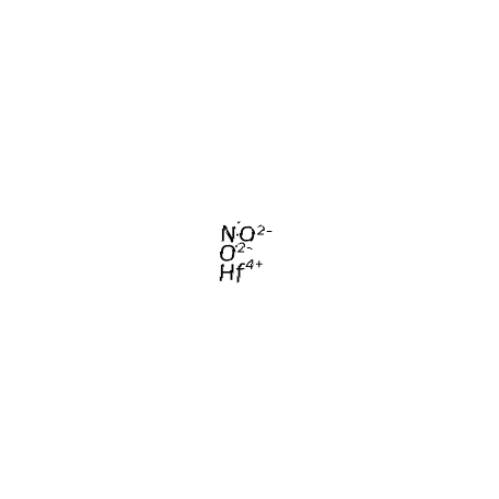 [Hf+4].[N].[O-2].[O-2]